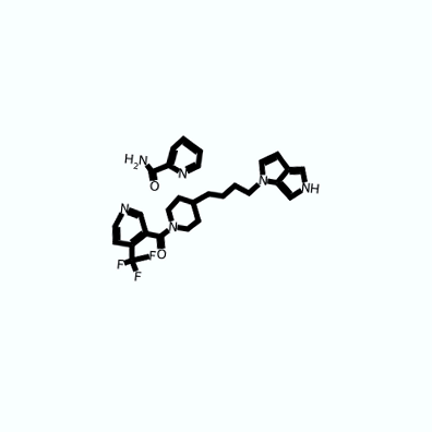 NC(=O)c1ccccn1.O=C(c1cnccc1C(F)(F)F)N1CCC(CCCCn2ccc3c[nH]cc32)CC1